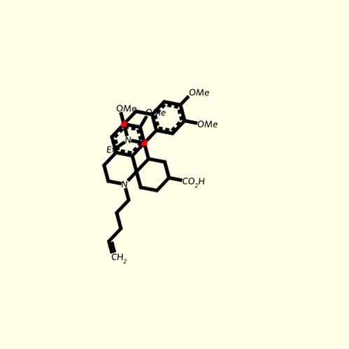 C=CCCCN1CCc2cc(OC)c(OC)cc2C12CCC(C(=O)O)CC2C1c2cc(OC)c(OC)cc2CCN1CC